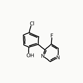 Oc1ccc(Cl)cc1-c1ncncc1F